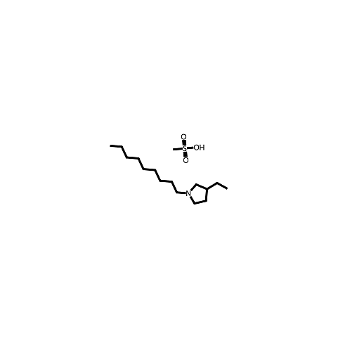 CCCCCCCCCN1CCC(CC)C1.CS(=O)(=O)O